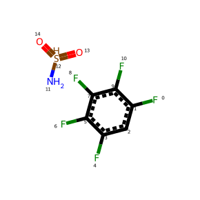 Fc1cc(F)c(F)c(F)c1F.N[SH](=O)=O